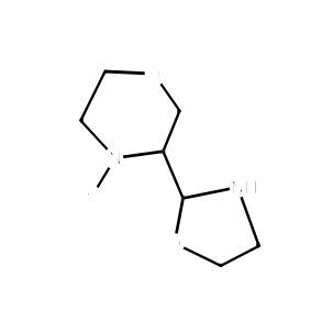 SN1CCOCC1[C]1NCCO1